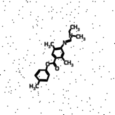 CCN(C)/C=N/c1cc(C)c(C(=O)Oc2ccc(C)cc2)cc1C